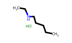 CCCCCNCC.Cl